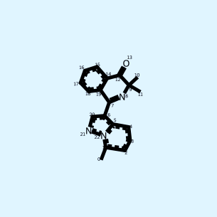 Cc1cccc2c(C3=NC(C)(C)C(=O)c4ccccc43)cnn12